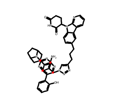 Nc1nnc(-c2ccccc2O)cc1N1CC2CCC(C1)N2c1ncc(Cn2cc(CCCc3ccc4c(c3)c3cccnc3n4C3CCC(=O)NC3=O)nn2)cn1